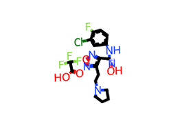 O/N=C(/Nc1ccc(F)c(Cl)c1)c1nonc1CCN1CCCC1.O=C(O)C(F)(F)F